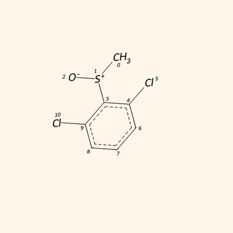 C[S+]([O-])c1c(Cl)cccc1Cl